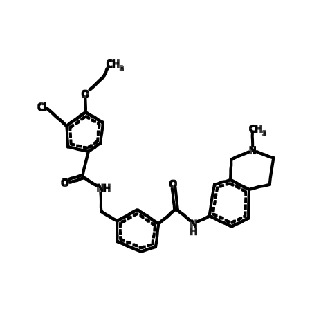 CCOc1ccc(C(=O)NCc2cccc(C(=O)Nc3ccc4c(c3)CN(C)CC4)c2)cc1Cl